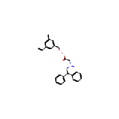 C=Cc1cc(C)cc(COOC(=O)CN(C)[C@@H](C)C(c2ccccc2)c2ccccc2)c1